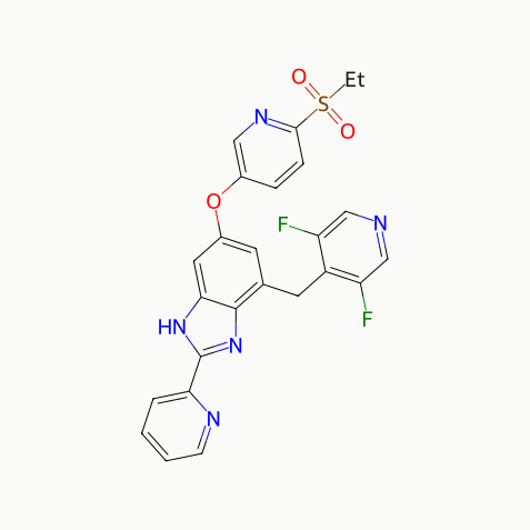 CCS(=O)(=O)c1ccc(Oc2cc(Cc3c(F)cncc3F)c3nc(-c4ccccn4)[nH]c3c2)cn1